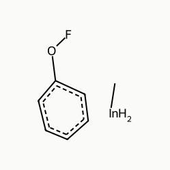 FOc1ccccc1.[CH3][InH2]